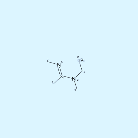 CCCCN(C)C(C)=NC